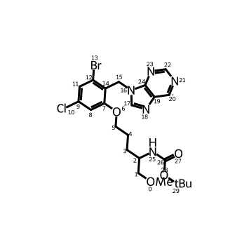 COCC(CCCOc1cc(Cl)cc(Br)c1Cn1cnc2[c]ncnc21)NC(=O)OC(C)(C)C